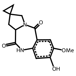 COc1cc2c(cc1O)NC(=O)C1CC3(CC3)CN1C2=O